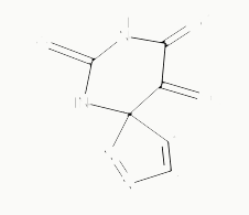 O=C1NC(=O)C(=O)C2(C=CN=N2)N1